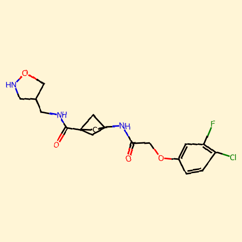 O=C(COc1ccc(Cl)c(F)c1)NC12CC(C(=O)NCC3CNOC3)(C1)C2